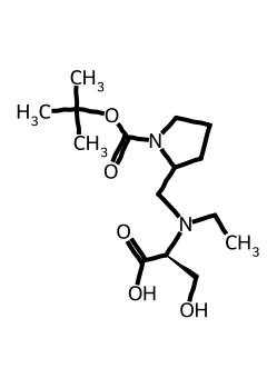 CCN(CC1CCCN1C(=O)OC(C)(C)C)[C@@H](CO)C(=O)O